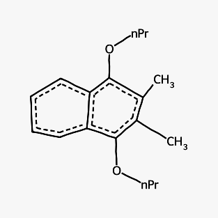 CCCOc1c(C)c(C)c(OCCC)c2ccccc12